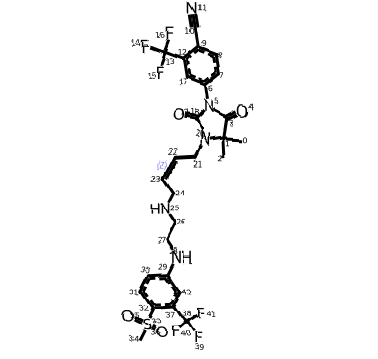 CC1(C)C(=O)N(c2ccc(C#N)c(C(F)(F)F)c2)C(=O)N1C/C=C\CNCCNc1ccc(S(C)(=O)=O)c(C(F)(F)F)c1